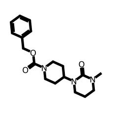 CN1CCCN(C2CCN(C(=O)OCc3ccccc3)CC2)C1=O